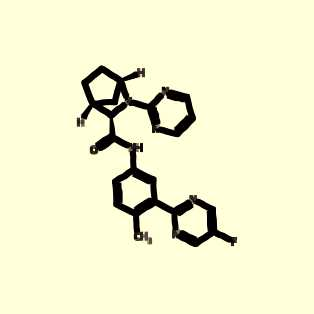 Cc1ccc(NC(=O)[C@H]2[C@@H]3CC[C@@H](C3)N2c2ncccn2)cc1-c1ncc(F)cn1